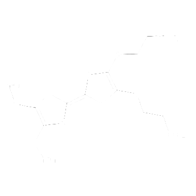 CCCCSC1=C(SCCCC)SC(=C2SC(SCCC(=O)OCC)=C(SCCC(=O)OCC)S2)S1